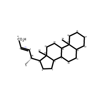 C[C@H](/C=C/C(=O)O)C1CCC2C3CCC4CCCCC4(C)C3CCC21C